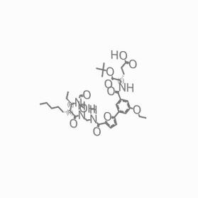 CCCCC[C@@H](C(=O)NCNC(=O)c1ccc(-c2cc(OCC)cc(C(=O)N[C@@H](CCC(=O)O)C(=O)OC(C)(C)C)c2)o1)[C@@H](CC)N(O)C=O